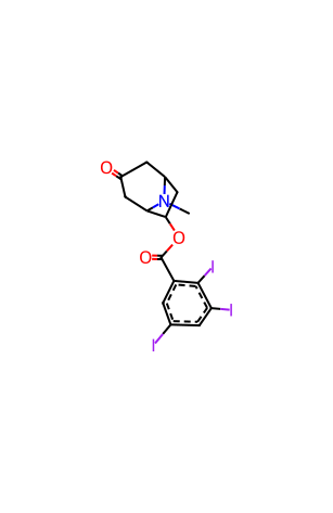 CN1C2CC(=O)CC1C(OC(=O)c1cc(I)cc(I)c1I)C2